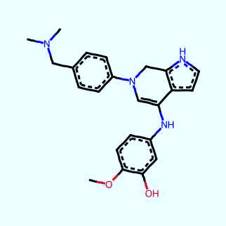 COc1ccc(NC2=CN(c3ccc(CN(C)C)cc3)Cc3[nH]ccc32)cc1O